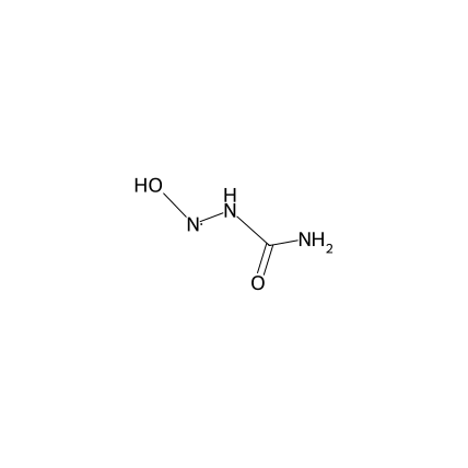 NC(=O)N[N]O